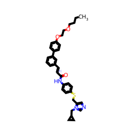 CCCCOCCOc1ccc(-c2cccc(/C=C/C(=O)Nc3ccc(SCc4cncn4CC4CC4)cc3)c2)cc1